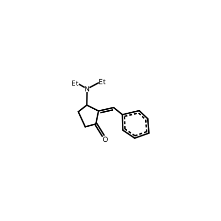 CCN(CC)C1CCC(=O)C1=Cc1ccccc1